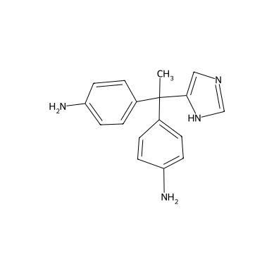 CC(c1ccc(N)cc1)(c1ccc(N)cc1)c1cnc[nH]1